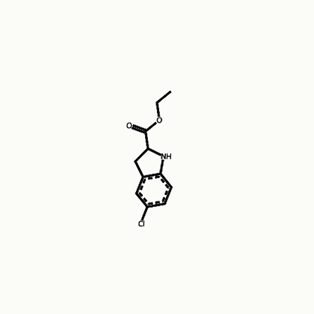 CCOC(=O)C1Cc2cc(Cl)ccc2N1